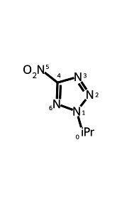 CC(C)n1nnc([N+](=O)[O-])n1